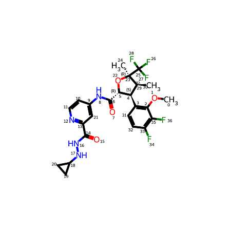 COc1c([C@H]2[C@H](C(=O)Nc3ccnc(C(=O)NNC4CC4)c3)O[C@@](C)(C(F)(F)F)[C@H]2C)ccc(F)c1F